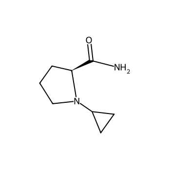 NC(=O)[C@@H]1CCCN1C1CC1